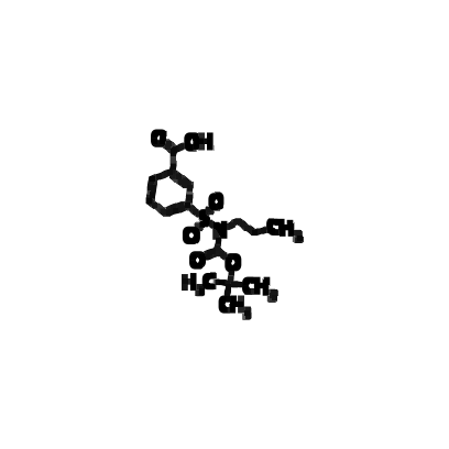 CCCN(C(=O)OC(C)(C)C)S(=O)(=O)c1cccc(C(=O)O)c1